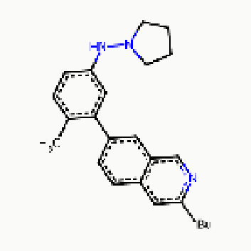 CCC(C)c1cc2ccc(-c3cc(NN4CCCC4)ccc3C)cc2cn1